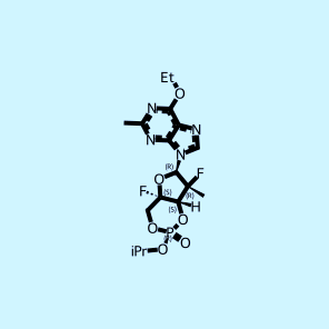 CCOc1nc(C)nc2c1ncn2[C@@H]1O[C@]2(F)CO[P@](=O)(OC(C)C)O[C@H]2[C@@]1(C)F